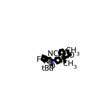 CN(c1cc(=O)n(C)c2ccc(C#N)nc12)C1CCC(/C(Cc2ccc(F)cn2)=N\OC(C)(C)C)CC1